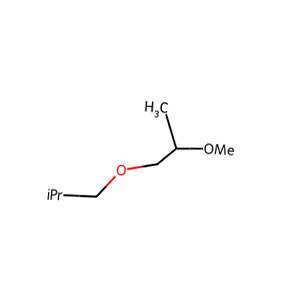 COC(C)COCC(C)C